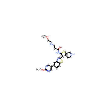 COCCNCCC(=O)Nc1sc2c(c1-c1nc3cc(-c4cnc(OC)nc4)ccc3s1)CCNC2